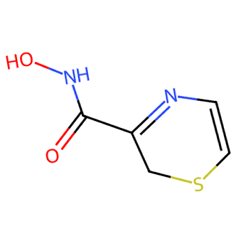 O=C(NO)C1=NC=CSC1